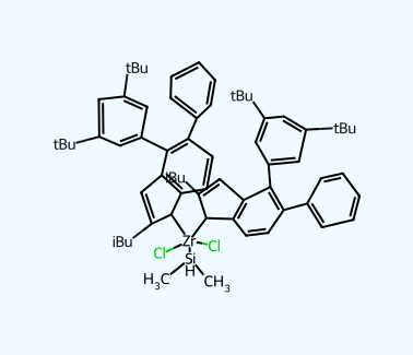 CCC(C)C1=Cc2c(ccc(-c3ccccc3)c2-c2cc(C(C)(C)C)cc(C(C)(C)C)c2)[CH]1[Zr]([Cl])([Cl])([CH]1C(C(C)CC)=Cc2c1ccc(-c1ccccc1)c2-c1cc(C(C)(C)C)cc(C(C)(C)C)c1)[SiH](C)C